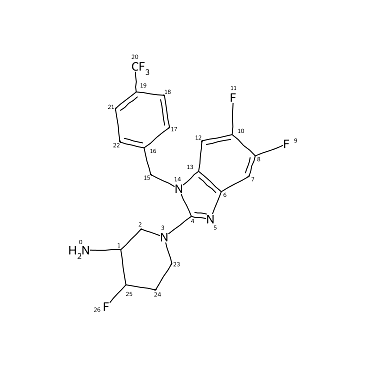 NC1CN(c2nc3cc(F)c(F)cc3n2Cc2ccc(C(F)(F)F)cc2)CCC1F